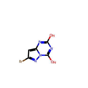 Oc1nc(O)n2nc(Br)cc2n1